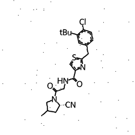 CC1C[C@@H](C#N)N(C(=O)CNC(=O)c2csc(Cc3ccc(Cl)c(C(C)(C)C)c3)n2)C1